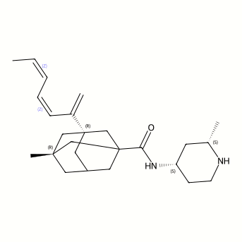 C=C(/C=C\C=C/C)[C@]12CC3CC(C(=O)N[C@H]4CCN[C@@H](C)C4)(C[C@](C)(C3)C1)C2